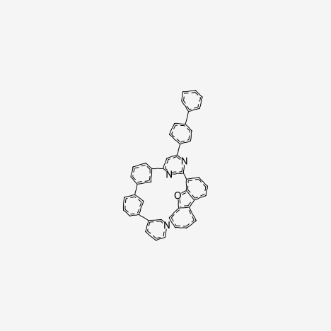 c1ccc(-c2ccc(-c3cc(-c4cccc(-c5cccc(-c6cccnc6)c5)c4)nc(-c4cccc5c4oc4ccccc45)n3)cc2)cc1